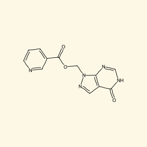 O=C(OCn1ncc2c(=O)[nH]cnc21)c1cccnc1